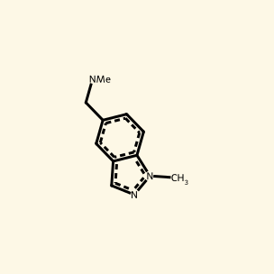 CNCc1ccc2c(cnn2C)c1